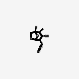 C[C@H]1[C@H](O)[C@@H](N=[N+]=[N-])C2OC[C@H]1O2